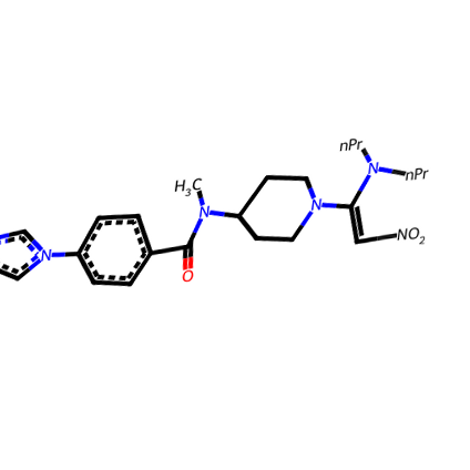 CCCN(CCC)C(=C[N+](=O)[O-])N1CCC(N(C)C(=O)c2ccc(-n3ccnc3)cc2)CC1